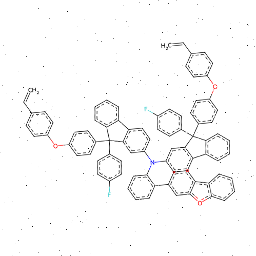 C=Cc1ccc(Oc2ccc(C3(c4ccc(F)cc4)c4ccccc4-c4ccc(N(c5ccc6c(c5)C(c5ccc(F)cc5)(c5ccc(Oc7ccc(C=C)cc7)cc5)c5ccccc5-6)c5ccccc5-c5ccc6c(c5)oc5ccccc56)cc43)cc2)cc1